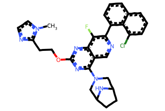 Cn1ccnc1CCOc1nc(N2CC3CCC(C2)N3)c2cnc(-c3cccc4cccc(Cl)c34)c(F)c2n1